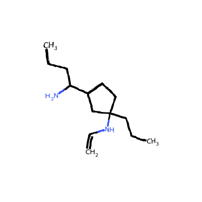 C=CNC1(CCC)CCC(C(N)CCC)C1